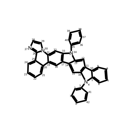 c1ccc(-n2c3ccccc3c3cc4c(cc32)c2cc3c5ccccc5c5nccn5c3cc2n4-c2ccccc2)cc1